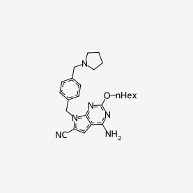 CCCCCCOc1nc(N)c2cc(C#N)n(Cc3ccc(CN4CCCC4)cc3)c2n1